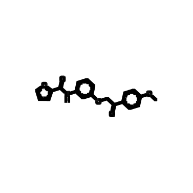 COc1ccc(C(=O)COc2cccc(NC(=O)c3ccco3)c2)cc1